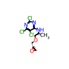 C[C@H](COC[C@@H]1CO1)Nc1nc(Cl)nc(Cl)c1Cl